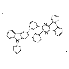 c1ccc(-c2nc3c4ccccc4c4ccccc4c3nc2-c2cccc(-c3ccc4c(c3)c3ccccc3n4-c3ccccc3)c2)cc1